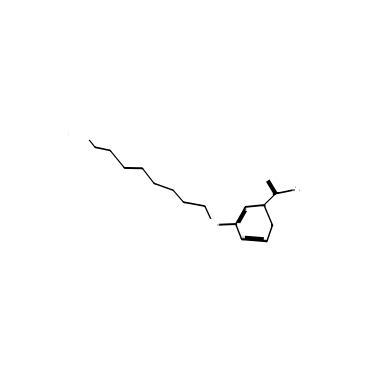 CCCCCCCCCOC1=[C]C(C([N])=O)CC=C1